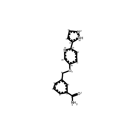 NC(=O)c1cccc(COc2ccc(-c3ccn[nH]3)nc2)c1